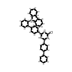 Clc1nc(-c2ccc(-c3ccccc3)cc2)nc(-c2ccc(-c3ccccc3-n3c4ccccc4c4ccccc43)cc2)n1